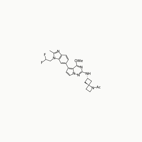 COc1nc(N[C@H]2C[C@@]3(CCN3C(C)=O)C2)nn2ccc(-c3ccc4nc(C)n(CC(F)F)c4c3)c12